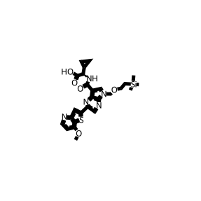 COc1ccnc2cc(-c3cnc4c(n3)c(C(=O)N[C@@H](C(=O)O)C3CC3)cn4COCC[Si](C)(C)C)sc12